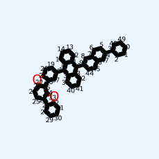 c1ccc(-c2ccc3cc(-c4c5ccccc5c(-c5ccc6oc7ccc8c9ccccc9oc8c7c6c5)c5ccccc45)ccc3c2)cc1